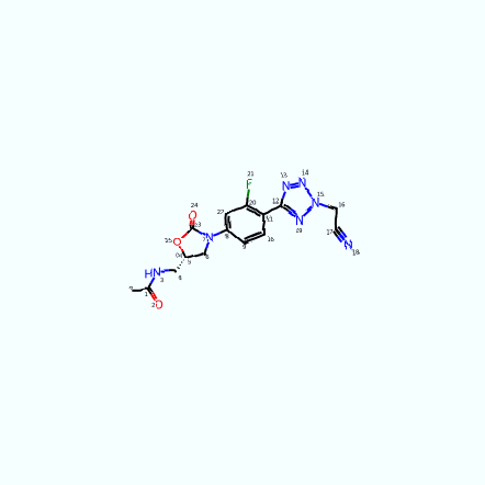 CC(=O)NC[C@H]1CN(c2ccc(-c3nnn(CC#N)n3)c(F)c2)C(=O)O1